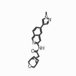 Cn1cc(-c2ccc3cnc(NC(=O)CN4C5CCC4COC5)cc3c2)cn1